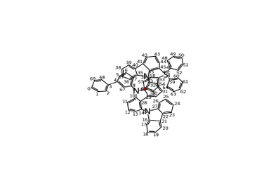 c1ccc(-c2cccc(-n3c4cccc(-n5c6ccccc6c6ccccc65)c4c4cccc(-n5c6ccccc6c6cccc([Si](c7ccccc7)(c7ccccc7)c7ccccc7)c65)c43)c2)cc1